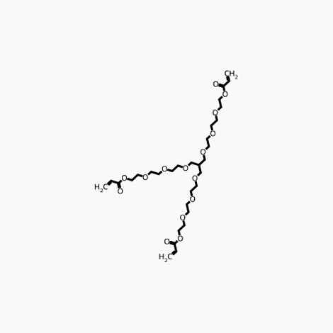 C=CC(=O)OCCOCCOCCOCC(COCCOCCOCCOC(=O)C=C)COCCOCCOCCOC(=O)C=C